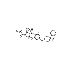 COC(=O)[C@@H]1C[C@H](Oc2cc(N(C)C3CCC(c4ccccc4)(N(C)C)CC3)cc(F)c2Cl)CN1C(=O)O